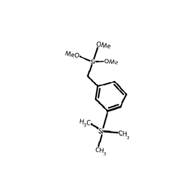 CO[Si](Cc1cccc([Si](C)(C)C)c1)(OC)OC